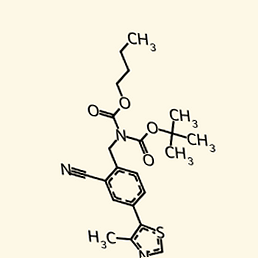 CCCCOC(=O)N(Cc1ccc(-c2scnc2C)cc1C#N)C(=O)OC(C)(C)C